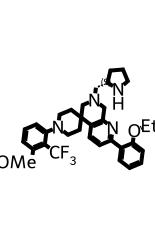 CCOc1ccccc1-c1ccc2c(n1)CN(C[C@@H]1CCCN1)CC21CCN(c2cccc(OC)c2C(F)(F)F)CC1